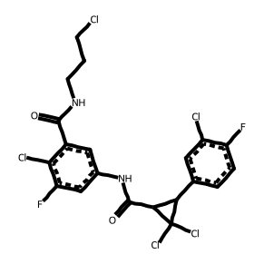 O=C(NCCCCl)c1cc(NC(=O)C2C(c3ccc(F)c(Cl)c3)C2(Cl)Cl)cc(F)c1Cl